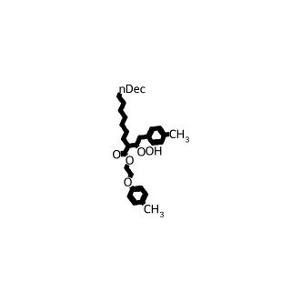 CCCCCCCCCCCCCCCCCC(C(=O)OCCOc1ccc(C)cc1)C(Cc1ccc(C)cc1)OO